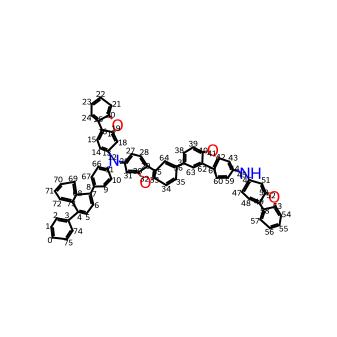 c1ccc(-c2ccc(-c3ccc(N(c4ccc5c(c4)oc4ccccc45)c4ccc5c(c4)oc4ccc(-c6ccc7oc8cc(Nc9ccc%10c(c9)oc9ccccc9%10)ccc8c7c6)cc45)cc3)c3ccccc23)cc1